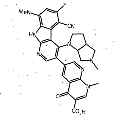 CNc1cc(F)c(C#N)c2c1[nH]c1ncc(-c3cnc4c(c3)c(=O)c(C(=O)O)cn4C)c(N3CCC4CN(C)CC43)c12